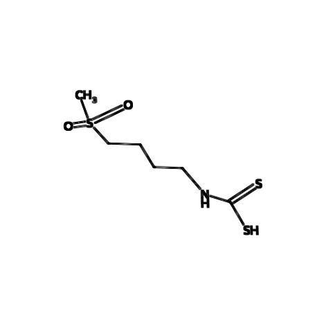 CS(=O)(=O)CCCCNC(=S)S